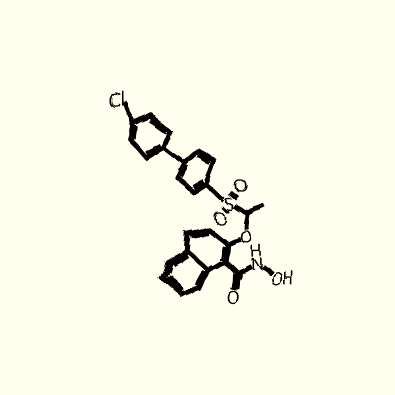 CC(Oc1ccc2ccccc2c1C(=O)NO)S(=O)(=O)c1ccc(-c2ccc(Cl)cc2)cc1